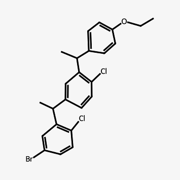 CCOc1ccc(C(C)c2cc(C(C)c3cc(Br)ccc3Cl)ccc2Cl)cc1